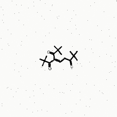 CC(C)(C)C(=O)CC=C(C(=O)C(C)(C)C)C(=O)C(C)(C)C